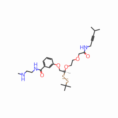 CNCCNC(=O)c1cccc(OC[C@@](C)(OCCOCC(=O)NCC#CC(C)C)SSC(C)(C)C)c1